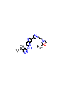 CC1CN(CCCn2cc(-c3cnc4ccc(Nc5cc(C(C)C)cnn5)nc4c3)cn2)CCO1